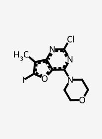 Cc1c(I)oc2c(N3CCOCC3)nc(Cl)nc12